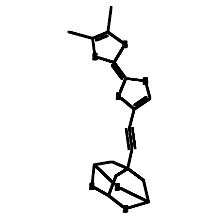 CC1=C(C)SC(=C2SC=C(C#CC34CC5SC(C3)SC(C4)S5)S2)S1